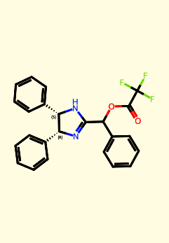 O=C(OC(C1=N[C@H](c2ccccc2)[C@H](c2ccccc2)N1)c1ccccc1)C(F)(F)F